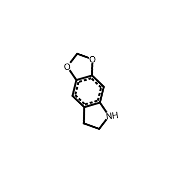 c1c2c(cc3c1OCO3)NCC2